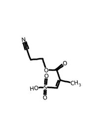 CC(=CS(=O)(=O)O)C(=O)OCCC#N